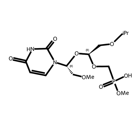 COC[C@@H](O[C@@H](COC(C)C)OCP(=O)(O)OC)n1ccc(=O)[nH]c1=O